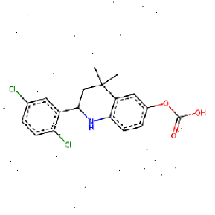 CC1(C)CC(c2cc(Cl)ccc2Cl)Nc2ccc(OC(=O)O)cc21